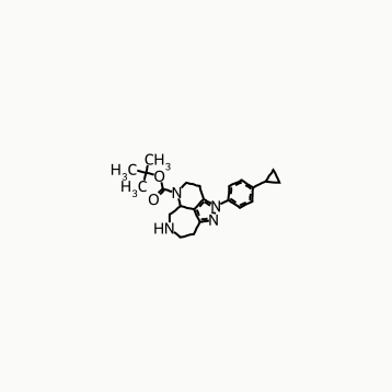 CC(C)(C)OC(=O)N1CCc2c3c(nn2-c2ccc(C4CC4)cc2)CCNCC31